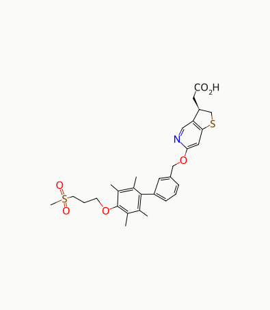 Cc1c(C)c(-c2cccc(COc3cc4c(cn3)[C@@H](CC(=O)O)CS4)c2)c(C)c(C)c1OCCCS(C)(=O)=O